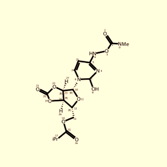 CNC(=O)ONC1=NC(O)N([C@@H]2O[C@H](COC(=O)C(C)C)[C@H]3OC(=O)O[C@H]32)C=C1